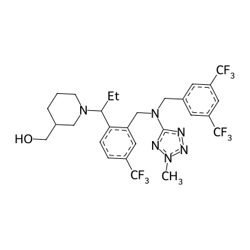 CCC(c1ccc(C(F)(F)F)cc1CN(Cc1cc(C(F)(F)F)cc(C(F)(F)F)c1)c1nnn(C)n1)N1CCCC(CO)C1